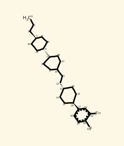 CCC[C@H]1CC[C@H](C2CCC(CC[C@H]3CC[C@H](c4ccc(F)c(F)c4)CC3)CC2)CC1